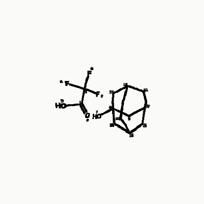 O=C(O)C(F)(F)F.OC12CC3CC(CC(C3)C1)C2